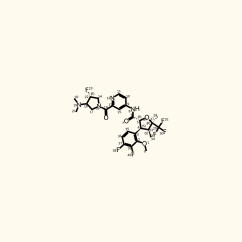 COc1c([C@H]2[C@H](C(=O)Nc3ccnc(C(=O)N4CC(N(C)C)[C@H](F)C4)c3)O[C@@](C)(C(F)(F)F)[C@H]2C)ccc(F)c1F